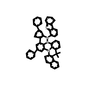 CC1(C)c2cccc3c2N(c2cc(-c4ccccc4)cc4c2B3N(c2cccc3c2sc2ccccc23)c2cc(-c3ccccc3)ccc2-4)c2ccc3ccccc3c21